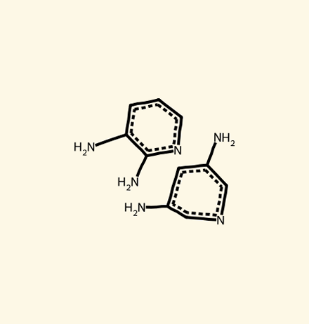 Nc1cccnc1N.Nc1cncc(N)c1